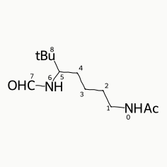 CC(=O)NCCCCC(NC=O)C(C)(C)C